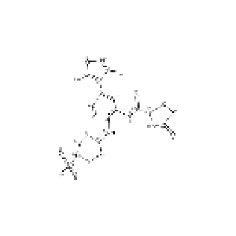 Cc1noc(C)c1-c1ccc(NC2CCN(S(C)(=O)=O)CC2)c(NC(=O)[C@@H]2CCC(=O)N2)c1